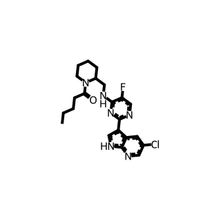 CCCCC(=O)N1CCCCC1CNc1nc(-c2c[nH]c3ncc(Cl)cc23)ncc1F